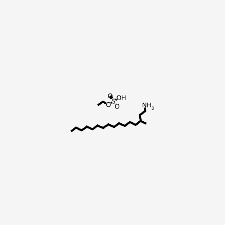 CCCCCCCCCCCCCC(C)CCN.CCOS(=O)(=O)O